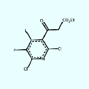 CCOC(=O)CC(=O)c1c(Cl)nc(Cl)c(F)c1I